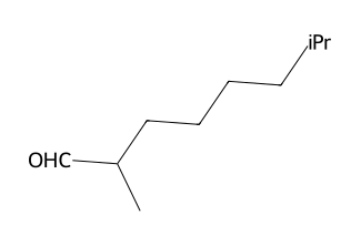 CC(C)CCCCC(C)C=O